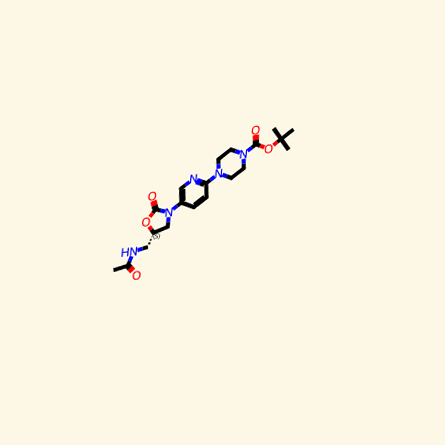 CC(=O)NC[C@H]1CN(c2ccc(N3CCN(C(=O)OC(C)(C)C)CC3)nc2)C(=O)O1